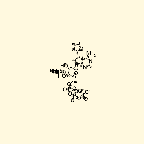 Nc1ncnc2c1c(-c1ccco1)cn2[C@@H]1O[C@H](COP(=O)([O-])OP(=O)([O-])OP(=O)([O-])[O-])[C@@H](O)[C@H]1O.[Na+].[Na+].[Na+].[Na+]